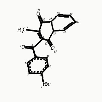 CC1=C(C(=O)c2ccc(C(C)(C)C)cc2)C(=O)C2C=CC=CC2C1=O